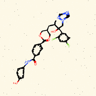 CC(CC1COC(c2ccc(C(=O)Nc3ccc(O)cc3)cc2)OC1)C(O)(Cn1cncn1)c1ccc(F)cc1F